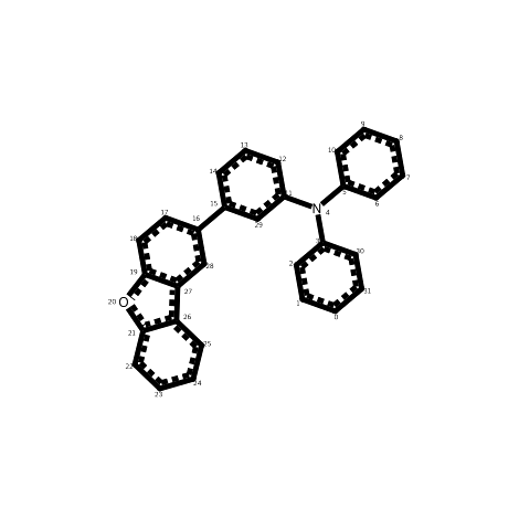 c1ccc(N(c2ccccc2)c2cccc(-c3ccc4oc5ccccc5c4c3)c2)cc1